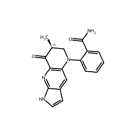 C[C@H]1CN(c2ccccc2C(N)=O)c2cc3cc[nH]c3nc2C1=O